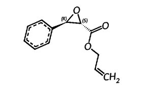 C=CCOC(=O)[C@H]1O[C@@H]1c1ccccc1